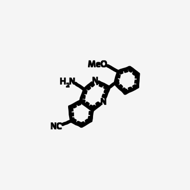 COc1ccccc1-c1nc(N)c2cc(C#N)ccc2n1